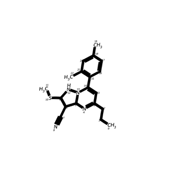 CCCC1=NC2C(C#N)C(SC)NN2C(c2ccc(C)cc2C)=C1